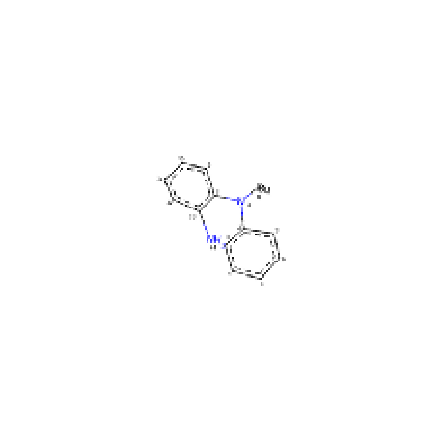 CCC(C)N(c1ccccc1)c1ccccc1N